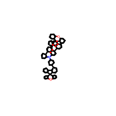 c1ccc(-c2ccc(-c3ccccc3N(c3ccc(-c4cccc5c4-c4ccccc4C54c5ccccc5Oc5ccccc54)cc3)c3ccc(-c4cccc5c4-c4ccccc4C54c5ccccc5Oc5ccccc54)cc3)cc2)cc1